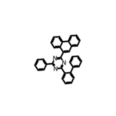 c1ccc(-c2nc(-c3ccccc3-c3ccccc3)nc(-c3cc4ccccc4c4ccccc34)n2)cc1